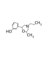 CCCN1CC(C)OC(c2cccc(O)c2)C1